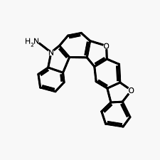 Nn1c2ccccc2c2c3c(ccc21)oc1cc2oc4ccccc4c2cc13